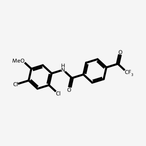 COc1cc(NC(=O)c2ccc(C(=O)C(F)(F)F)cc2)c(Cl)cc1Cl